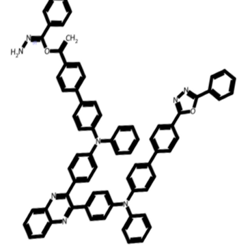 C=C(O/C(=N\N)c1ccccc1)c1ccc(-c2ccc(N(c3ccccc3)c3ccc(-c4nc5ccccc5nc4-c4ccc(N(c5ccccc5)c5ccc(-c6ccc(-c7nnc(-c8ccccc8)o7)cc6)cc5)cc4)cc3)cc2)cc1